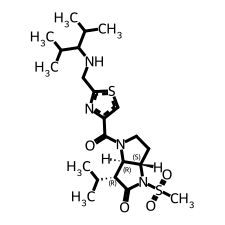 CC(C)C(NCc1nc(C(=O)N2CC[C@H]3[C@H]2[C@@H](C(C)C)C(=O)N3S(C)(=O)=O)cs1)C(C)C